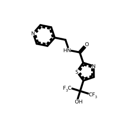 O=C(NCc1ccncc1)c1ncc(C(O)(C(F)(F)F)C(F)(F)F)s1